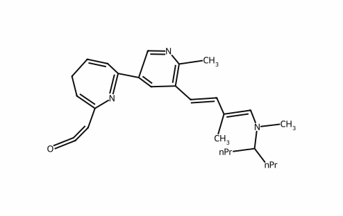 CCCC(CCC)N(C)/C=C(C)/C=C/c1cc(C2=NC(C=C=O)=CCC=C2)cnc1C